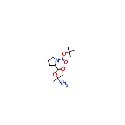 CC(C)(C)OC(=O)N1CCCC1C(=O)OC(C)(C)N